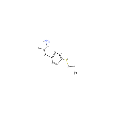 CC(C)CCSc1ccc(CC(C)CN)cc1